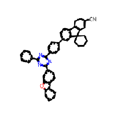 N#CC1=CC2=C(CC1)c1ccc(-c3ccc(-c4nc(-c5ccccc5)nc(-c5ccc6c(c5)oc5ccccc56)n4)cc3)cc1C21CCCCC1